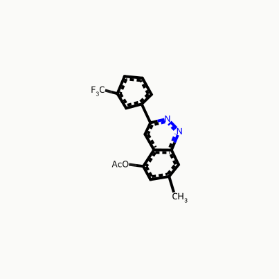 CC(=O)Oc1cc(C)cc2nnc(-c3cccc(C(F)(F)F)c3)cc12